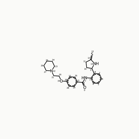 O=C(Nc1ccccc1C1CCC(=S)N1)c1ccc(OCCN2CCCCC2)cc1